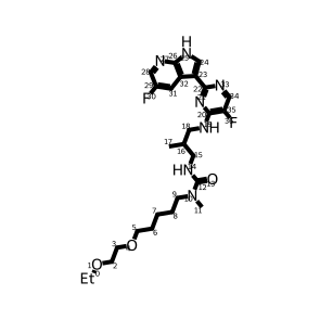 CCOCCOCCCCCN(C)C(=O)NCC(C)CNc1nc(-c2c[nH]c3ncc(F)cc23)ncc1F